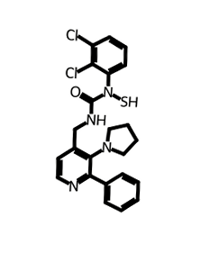 O=C(NCc1ccnc(-c2ccccc2)c1N1CCCC1)N(S)c1cccc(Cl)c1Cl